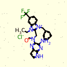 CCn1c(CN(C=O)c2nc3cc[nH]c3nc2N)[n+](Cc2ccccc2)c2ccc(C(F)(F)F)cc21.[Cl-]